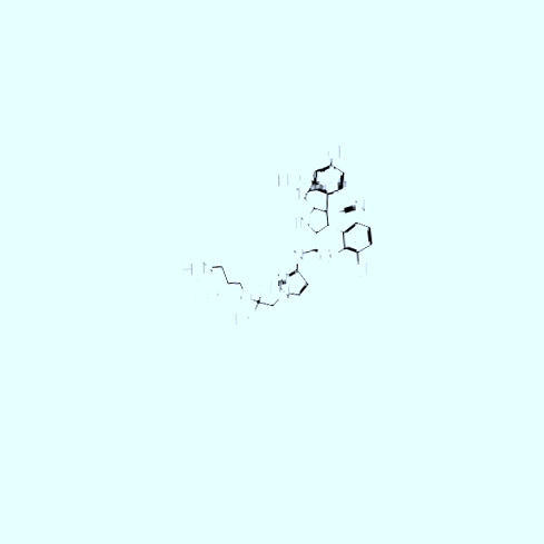 CC(C)(C)C[C@@H]1N[C@@H](C(=O)Nc2ccn(CC(C)(C)OC[C@H](O)CN)n2)[C@H](c2cccc(Cl)c2F)[C@@]1(C#N)c1ccc(Cl)cc1F